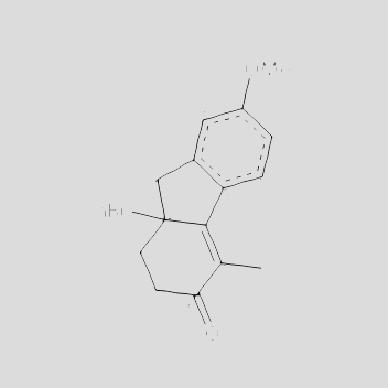 CCCCC12CCC(=O)C(C)=C1c1ccc(OC)cc1C2